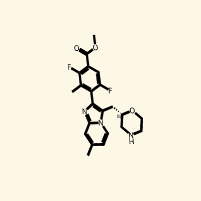 COC(=O)c1cc(F)c(-c2nc3cc(C)ccn3c2C[C@H]2CNCCO2)c(C)c1F